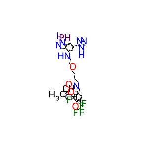 CC(C)(C)OC(=O)N(CCCCOCCNc1cc(-c2nnc[nH]2)cc2c1cnn2PI)Cc1cc(F)c(OC(F)(F)F)c(F)c1